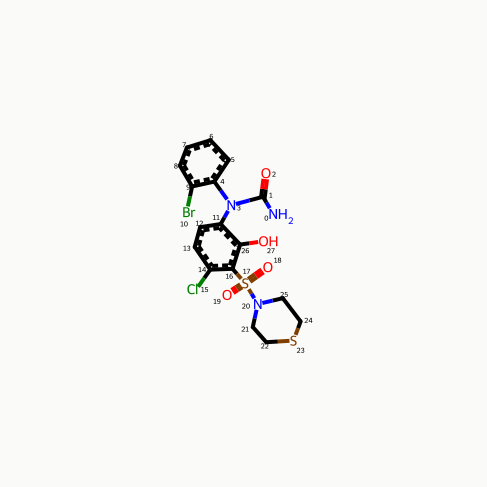 NC(=O)N(c1ccccc1Br)c1ccc(Cl)c(S(=O)(=O)N2CCSCC2)c1O